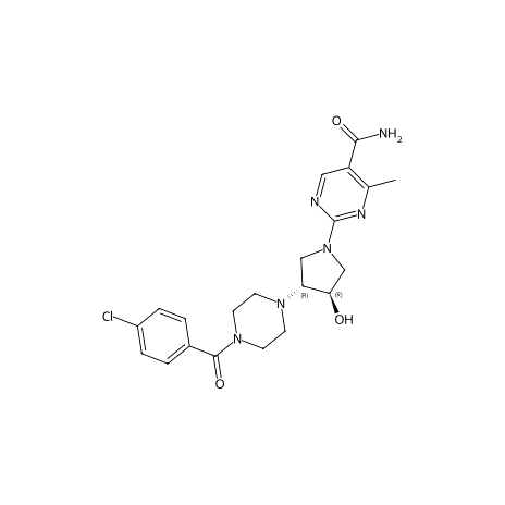 Cc1nc(N2C[C@@H](O)[C@H](N3CCN(C(=O)c4ccc(Cl)cc4)CC3)C2)ncc1C(N)=O